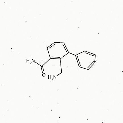 NCc1c(C(N)=O)cccc1-c1ccccc1